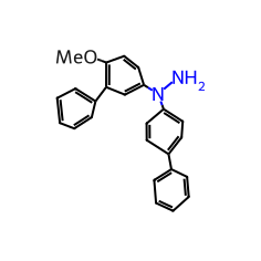 COc1ccc(N(N)c2ccc(-c3ccccc3)cc2)cc1-c1ccccc1